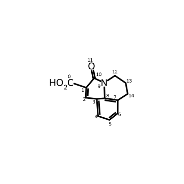 O=C(O)c1cc2cccc3c2n(c1=O)CCC3